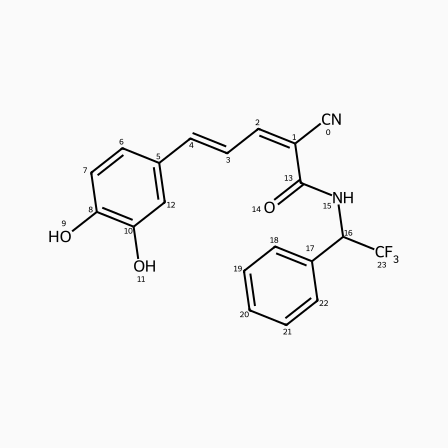 N#CC(=CC=Cc1ccc(O)c(O)c1)C(=O)NC(c1ccccc1)C(F)(F)F